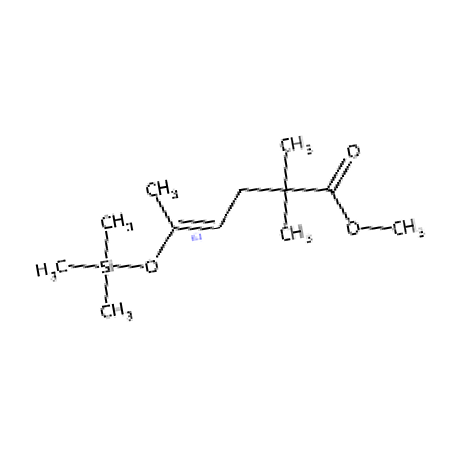 COC(=O)C(C)(C)C/C=C(\C)O[Si](C)(C)C